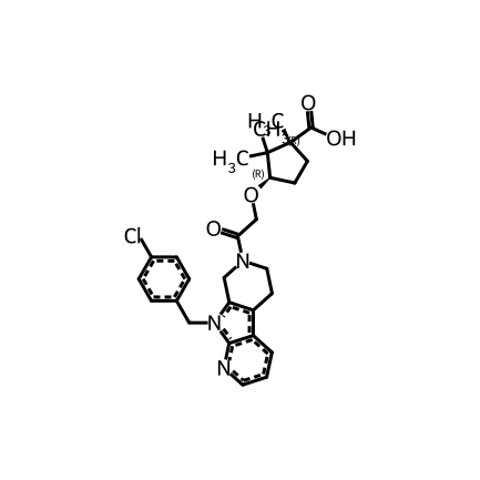 CC1(C)[C@H](OCC(=O)N2CCc3c(n(Cc4ccc(Cl)cc4)c4ncccc34)C2)CC[C@@]1(C)C(=O)O